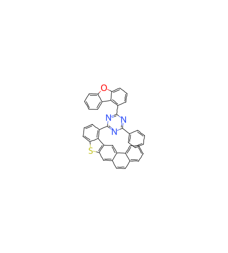 c1ccc(-c2nc(-c3cccc4oc5ccccc5c34)nc(-c3cccc4sc5cc6ccc7ccccc7c6cc5c34)n2)cc1